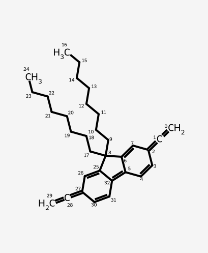 C=C=c1ccc2c(c1)C(CCCCCCCC)(CCCCCCCC)c1cc(=C=C)ccc1=2